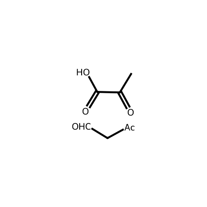 CC(=O)C(=O)O.CC(=O)CC=O